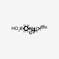 CC(C)(C)COCC(C)(C)C(=O)Nc1ccc(C(=O)O)cc1